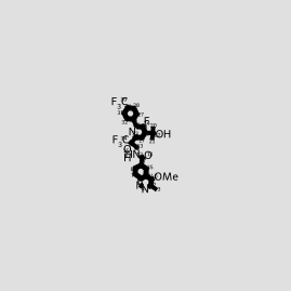 COc1c(C)nnc2ccc(C(=O)NCC(O)(c3cc(C(C)(C)O)c(F)c(-c4ccc(C(F)(F)F)cc4)n3)C(F)(F)F)cc12